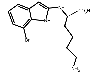 NCCCC[C@H](Nc1cc2cccc(Br)c2[nH]1)C(=O)O